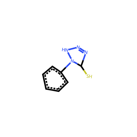 S[C]1N=NNN1c1ccccc1